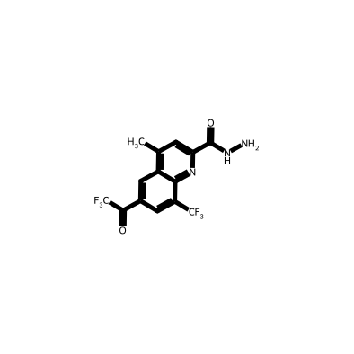 Cc1cc(C(=O)NN)nc2c(C(F)(F)F)cc(C(=O)C(F)(F)F)cc12